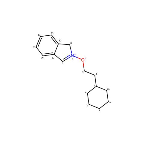 C1=[N+](OCCC2CCCCC2)Cc2ccccc21